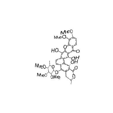 COc1ccc2c(=O)c3c(O)c4c(ccc5c(OC6OC(C)C(OC)C(OC)C6OC)c6c(c(O)c54)C(=O)OC(C)C6)c(O)c3oc2c1OC